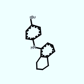 CC(C)(C)c1ccc(Nc2cccc3c2CCCC3)cc1